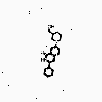 O=c1[nH]c(-c2ccccc2)cc2ccc(N3CCCC(CO)C3)cc12